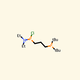 CCN(CC)P(Cl)CCCP(C(C)(C)C)C(C)(C)C